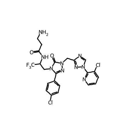 NCCC(=O)NC(Cn1c(-c2ccc(Cl)cc2)nn(Cc2ncn(-c3ncccc3Cl)n2)c1=O)C(F)(F)F